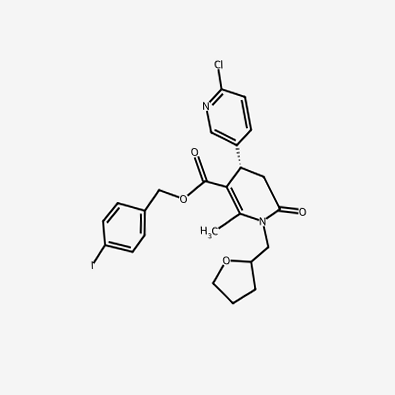 CC1=C(C(=O)OCc2ccc(I)cc2)[C@H](c2ccc(Cl)nc2)CC(=O)N1CC1CCCO1